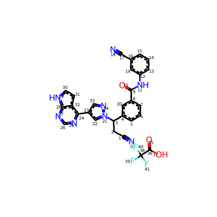 N#CCC(c1cccc(C(=O)Nc2cccc(C#N)c2)c1)n1cc(-c2ncnc3[nH]ccc23)cn1.O=C(O)C(F)(F)F